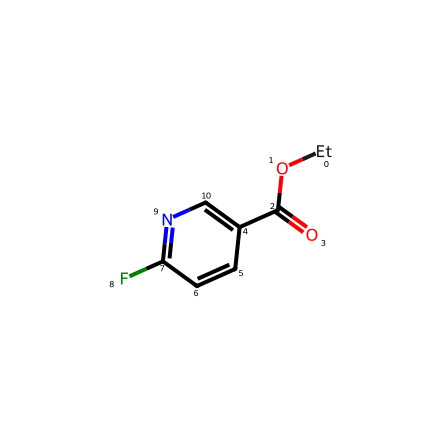 CCOC(=O)c1ccc(F)nc1